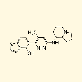 Cc1cc(N[C@@H]2CCCN3CCCC23)nnc1-c1ccc2sccc2c1O